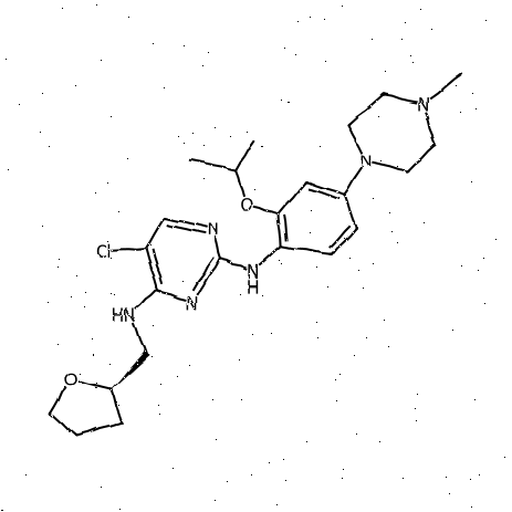 CC(C)Oc1cc(N2CCN(C)CC2)ccc1Nc1ncc(Cl)c(NC[C@H]2CCCO2)n1